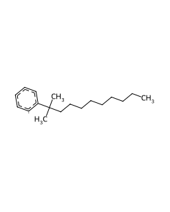 CCCCCCCCCC(C)(C)c1[c]cccc1